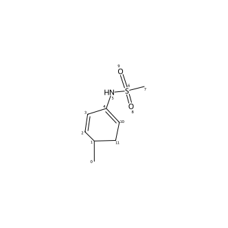 CC1C=CC(NS(C)(=O)=O)=CC1